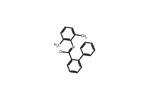 Cc1cccc(C)c1N=C(Cl)c1ccccc1-c1ccccc1